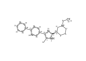 Cc1[nH]c([C@@H]2CCCN(CC(F)(F)F)C2)nc1-c1ccc(-c2ccccc2)nc1